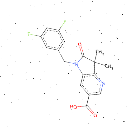 CC1(C)C(=O)N(Cc2cc(F)cc(F)c2)c2cc(C(=O)O)cnc21